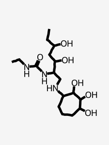 CCNC(=O)NC(CNC1CCCC(O)C(O)C1O)C(O)CC(O)CC